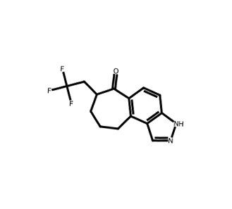 O=C1c2ccc3[nH]ncc3c2CCCC1CC(F)(F)F